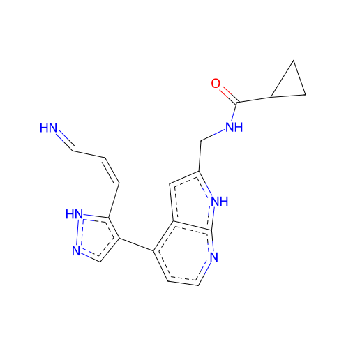 N=C/C=C\c1[nH]ncc1-c1ccnc2[nH]c(CNC(=O)C3CC3)cc12